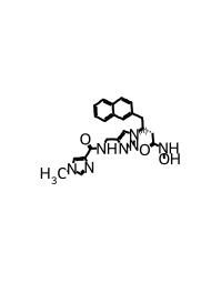 Cn1cnc(C(=O)NCc2cn([C@@H](CC(=O)NO)Cc3ccc4ccccc4c3)nn2)c1